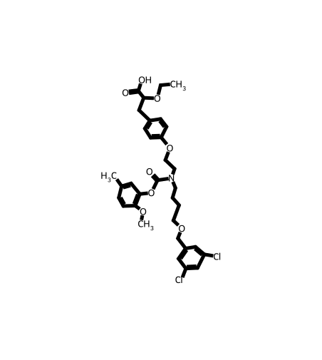 CCOC(Cc1ccc(OCCN(CCCCOCc2cc(Cl)cc(Cl)c2)C(=O)Oc2cc(C)ccc2OC)cc1)C(=O)O